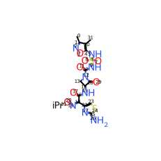 Cc1noc(NS(=O)(=O)NC(=O)N2C[C@H](NC(=O)/C(=N\OC(C)C)c3csc(N)n3)C2=O)c1C